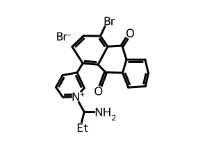 CCC(N)[n+]1cccc(-c2ccc(Br)c3c2C(=O)c2ccccc2C3=O)c1.[Br-]